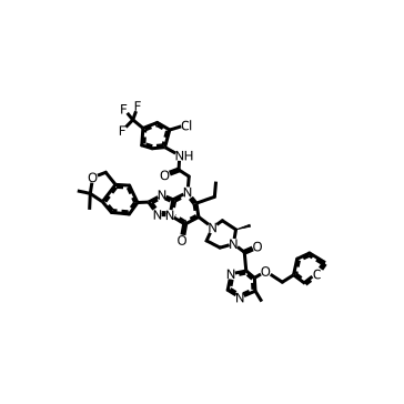 CCc1c(N2CCN(C(=O)c3ncnc(C)c3OCc3ccccc3)[C@H](C)C2)c(=O)n2nc(-c3ccc4c(c3)COC4(C)C)nc2n1CC(=O)Nc1ccc(C(F)(F)F)cc1Cl